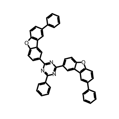 c1ccc(-c2ccc3oc4ccc(-c5nc(-c6ccccc6)nc(-c6ccc7oc8ccc(-c9ccccc9)cc8c7c6)n5)cc4c3c2)cc1